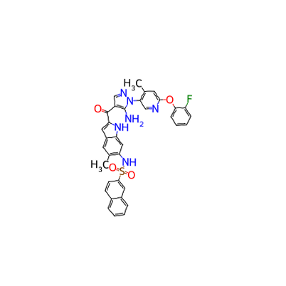 Cc1cc2cc(C(=O)c3cnn(-c4cnc(Oc5ccccc5F)cc4C)c3N)[nH]c2cc1NS(=O)(=O)c1ccc2ccccc2c1